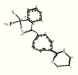 O=C(c1ccc(C2OCCCO2)cc1)c1ccccc1C(F)(F)F